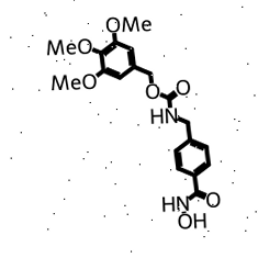 COc1cc(COC(=O)NCc2ccc(C(=O)NO)cc2)cc(OC)c1OC